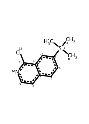 C[Si](C)(C)c1ccc2ccnc(Cl)c2c1